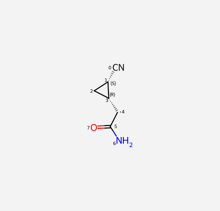 N#C[C@H]1C[C@H]1[CH]C(N)=O